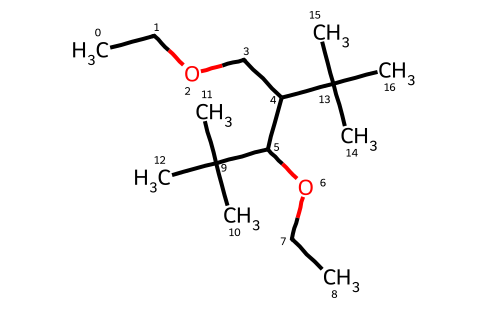 CCOCC(C(OCC)C(C)(C)C)C(C)(C)C